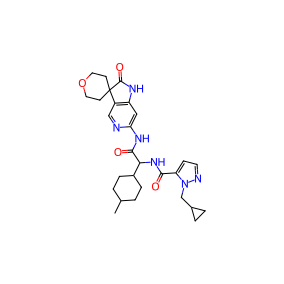 CC1CCC(C(NC(=O)c2ccnn2CC2CC2)C(=O)Nc2cc3c(cn2)C2(CCOCC2)C(=O)N3)CC1